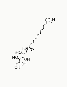 O=C(O)CCCCCCCCCCC(=O)NC[C@H](O)[C@@H](O)[C@H](O)C(O)CO